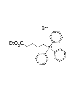 CCOC(=O)CCCC[P+](c1ccccc1)(c1ccccc1)c1ccccc1.[Br-]